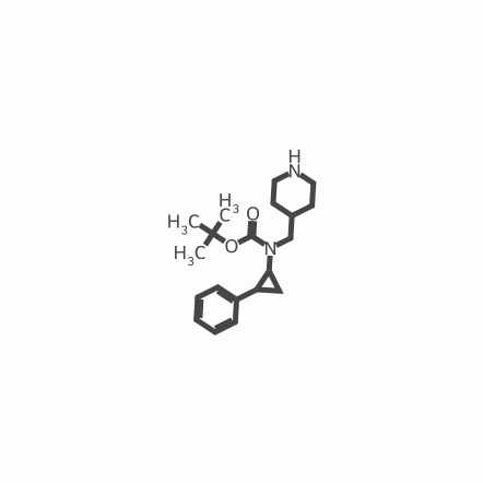 CC(C)(C)OC(=O)N(CC1CCNCC1)C1CC1c1ccccc1